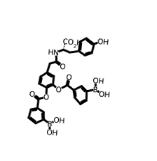 O=C(Cc1ccc(OC(=O)c2cccc(B(O)O)c2)c(OC(=O)c2cccc(B(O)O)c2)c1)N[C@@H](Cc1ccc(O)cc1)C(=O)O